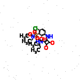 CC[C@H](C)Nc1c(Nc2ccc(Cl)c(S(=O)(=O)N(CC)OC)c2O)c(=O)c1=O